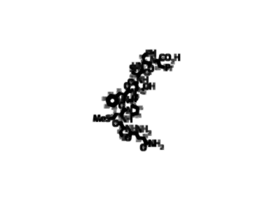 CSCC[C@H](NC(=O)[C@H](CC(C)C)NC(=O)[C@@H](N)CCC(N)=O)C(=O)N1CCC[C@H]1C(=O)N[C@@H](Cc1ccccc1)C(=O)N[C@@H](CO)C(=O)N[C@@H](CS)C(=O)N[C@@H](CC(C)C)C(=O)N[C@@H](CC(C)C)C(=O)O